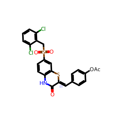 CC(=O)Oc1ccc(/C=C2\Sc3cc(S(=O)(=O)Cc4c(Cl)cccc4Cl)ccc3NC2=O)cc1